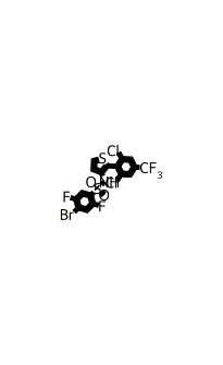 O=S(=O)(Nc1ccsc1-c1c(Cl)cc(C(F)(F)F)cc1Cl)c1cc(F)c(Br)cc1F